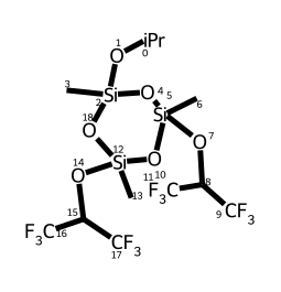 CC(C)O[Si]1(C)O[Si](C)(OC(C(F)(F)F)C(F)(F)F)O[Si](C)(OC(C(F)(F)F)C(F)(F)F)O1